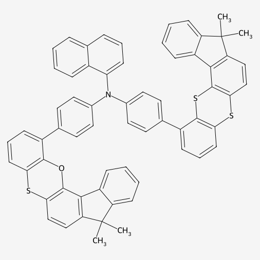 CC1(C)c2ccccc2-c2c1ccc1c2Oc2c(cccc2-c2ccc(N(c3ccc(-c4cccc5c4Sc4c(ccc6c4-c4ccccc4C6(C)C)S5)cc3)c3cccc4ccccc34)cc2)S1